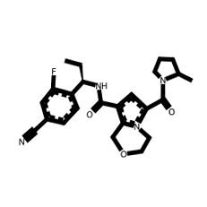 CC[C@@H](NC(=O)c1cc(C(=O)N2CCCC2C)n2c1COCC2)c1ccc(C#N)cc1F